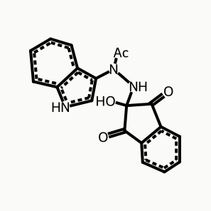 CC(=O)N(NC1(O)C(=O)c2ccccc2C1=O)c1c[nH]c2ccccc12